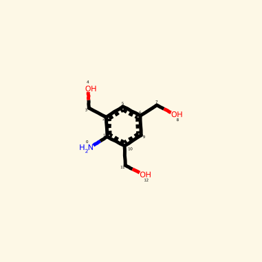 Nc1c(CO)cc(CO)cc1CO